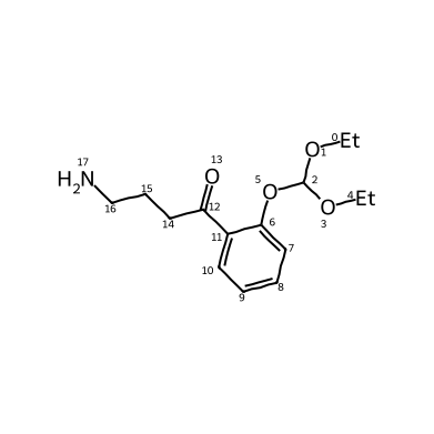 CCOC(OCC)Oc1ccccc1C(=O)CCCN